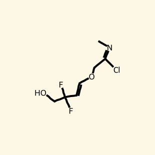 C/N=C(/Cl)CO/C=C/C(F)(F)CO